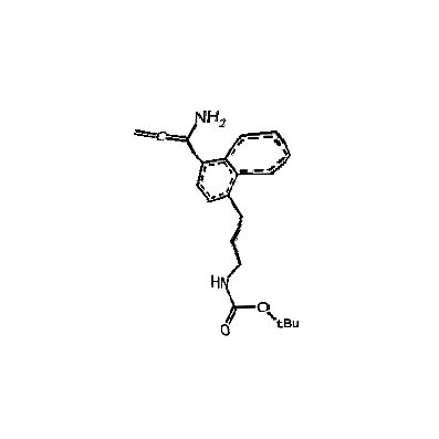 C=C=C(N)c1ccc(CCCNC(=O)OC(C)(C)C)c2ccccc12